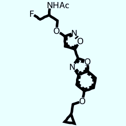 CC(=O)NC(CF)COc1cc(-c2nc3cc(OCC4CC4)ccc3o2)on1